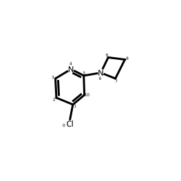 Clc1ccnc(N2CCC2)c1